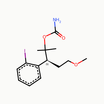 COCC[C@@H](c1ccccc1I)C(C)(C)OC(N)=O